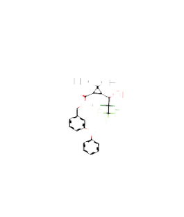 CC1(C)C(C(=O)OCc2cccc(Oc3ccccc3)c2)C1C(O)C(Cl)(Cl)C(F)(F)F